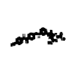 Cc1c(-c2cccc(NCC3CCN(C(=O)Nc4ccc(C#N)cc4)CC3)c2)sc(C(=O)O)c1OCC(=O)O